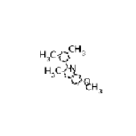 COc1ccc2cc(C)c(-c3cc(C)cc(C)c3)nc2c1